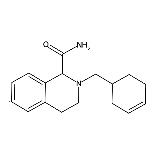 NC(=O)C1c2cc[c]cc2CCN1CC1CC=CCC1